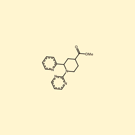 COC(=O)C1CCN(c2ncccn2)C(c2ccccn2)C1